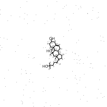 C[C@H](CCC(C)(C)O)C1CCC2C3CC=C4CC(O)CCC4(C)C3C(C)(O)CC21C